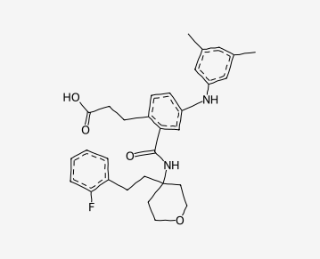 Cc1cc(C)cc(Nc2ccc(CCC(=O)O)c(C(=O)NC3(CCc4ccccc4F)CCOCC3)c2)c1